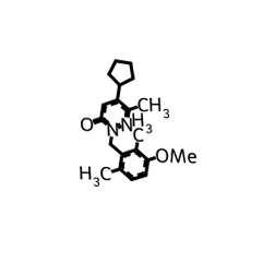 COc1ccc(C)c(Cn2nc(C)c(C3CCCC3)cc2=O)c1C